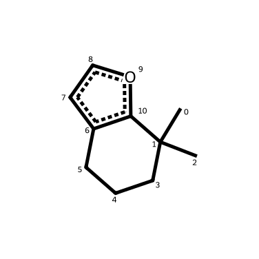 CC1(C)CCCc2ccoc21